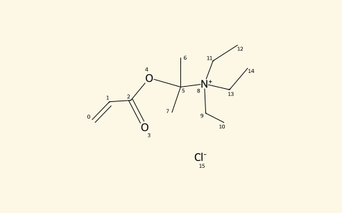 C=CC(=O)OC(C)(C)[N+](CC)(CC)CC.[Cl-]